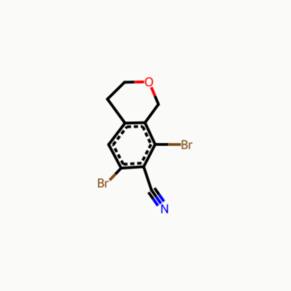 N#Cc1c(Br)cc2c(c1Br)COCC2